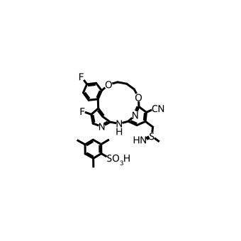 CS(=N)Cc1cc2nc(c1C#N)OCCCOc1cc(F)ccc1-c1cc(ncc1F)N2.Cc1cc(C)c(S(=O)(=O)O)c(C)c1